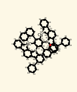 N#Cc1c(-c2cccc3ccccc23)c(C#N)c(-n2c3cccc(-c4ccccc4)c3c3ccc4c5ccccc5sc4c32)c(-c2cccc3ccccc23)c1-n1c2cccc(-c3ccccc3)c2c2ccc3c4ccccc4sc3c21